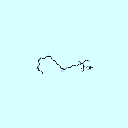 CC/C=C\C/C=C\C/C=C\CCCC/C=C\C=CCCOC(CC)C(=O)O